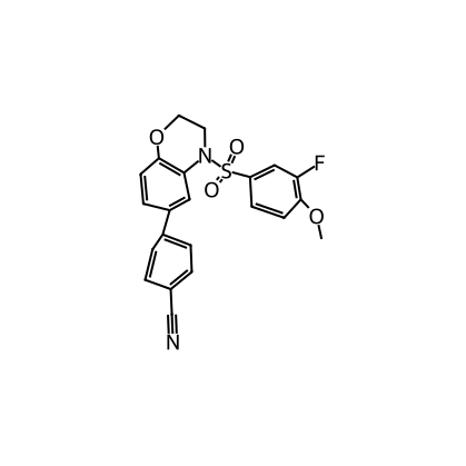 COc1ccc(S(=O)(=O)N2CCOc3ccc(-c4ccc(C#N)cc4)cc32)cc1F